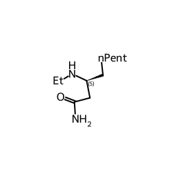 CCCCCC[C@@H](CC(N)=O)NCC